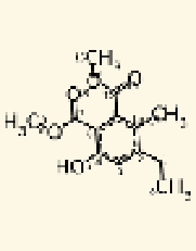 CCc1cc(O)c(C(=O)OC)c(C(=O)OC)c1C